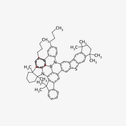 CCCCc1ccc(N2B3c4cc(CCCC)cc5c4N(c4c3c(cc3c4C(C)(C)c4ccccc4-3)-c3cc4sc6cc7c(cc6c4cc32)C(C)(C)CCC7(C)C)C2(C)CCCCC52C)c(-c2ccccc2)c1